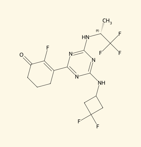 C[C@@H](Nc1nc(NC2CC(F)(F)C2)nc(C2=C(F)C(=O)CCC2)n1)C(F)(F)F